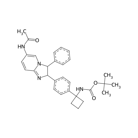 CC(=O)NC1=CN2C(=NC(c3ccc(C4(NC(=O)OC(C)(C)C)CCC4)cc3)C2c2ccccc2)C=C1